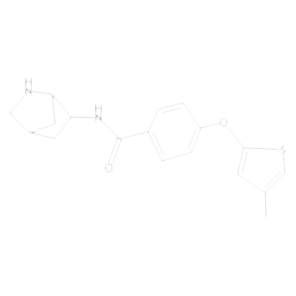 Cc1csc(Oc2ccc(C(=O)NC3CC4CNC3C4)cc2)c1